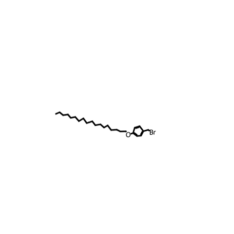 CCCCCCCCCCCCCCCCCCOc1ccc(CBr)cc1